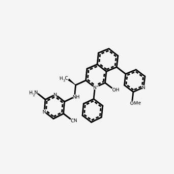 COc1cc(-c2cccc3cc([C@H](C)Nc4nc(N)ncc4C#N)[n+](-c4ccccc4)c(O)c23)ccn1